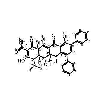 C[C@@H]1c2c(-c3ccccc3)cc(-c3ccccc3)c(O)c2C(=O)C2=C(O)[C@@]3(O)C(=O)C(C(N)=O)=C(O)[C@H](N(C)C)[C@H]3[C@H](O)[C@H]21